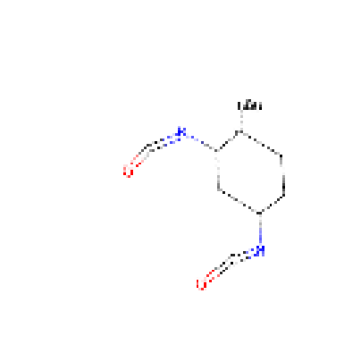 CCCC[C]1CCC(N=C=O)CC1N=C=O